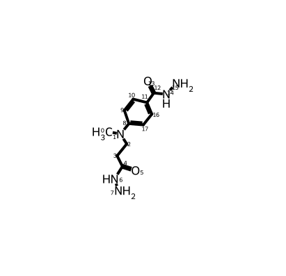 CN(CCC(=O)NN)c1ccc(C(=O)NN)cc1